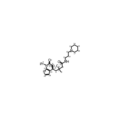 CC(C)n1c(=O)cc(CC(C)(CC(=O)NCCCN2CCCCC2)C(=O)O)c2ccsc21